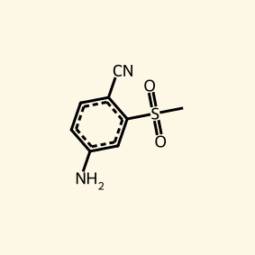 CS(=O)(=O)c1cc(N)ccc1C#N